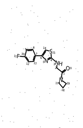 O=C(CNc1nc(-c2ccc(F)cc2)cs1)N1CCC1